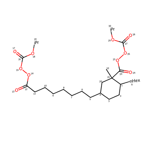 CCCCCCC1CCC(CCCCCCCC(=O)OOC(=O)OC(C)C)CC1(C)C(=O)OOC(=O)OC(C)C